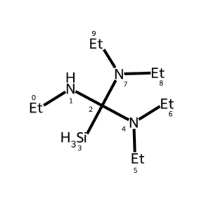 CCNC([SiH3])(N(CC)CC)N(CC)CC